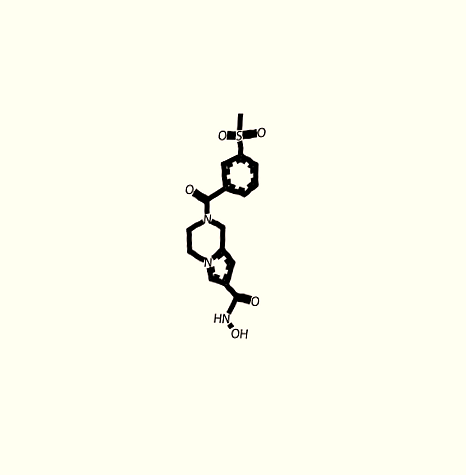 CS(=O)(=O)c1cccc(C(=O)N2CCn3cc(C(=O)NO)cc3C2)c1